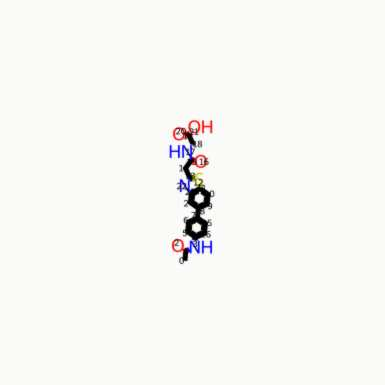 CC(=O)Nc1ccc(-c2ccc3sc(CC(=O)NCC(=O)O)nc3c2)cc1